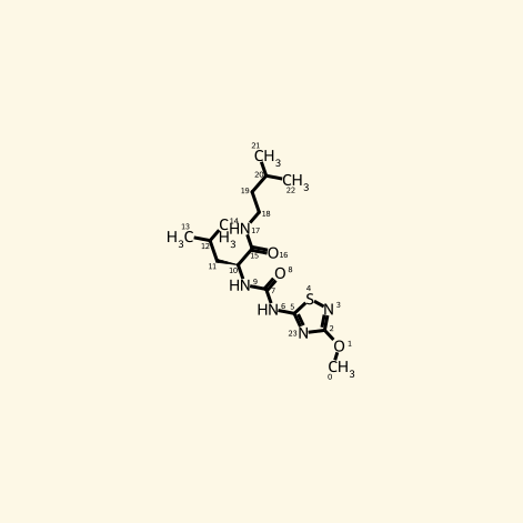 COc1nsc(NC(=O)N[C@@H](CC(C)C)C(=O)NCCC(C)C)n1